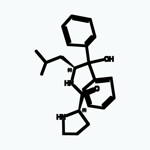 CC(C)C[C@@H](NC(=O)[C@H]1CCCN1)C(O)(c1ccccc1)c1ccccc1